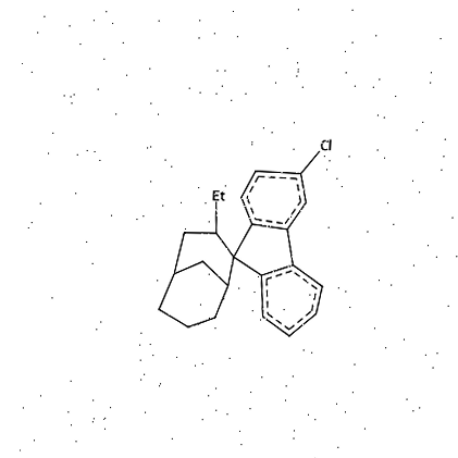 CCC1CC2CCCC(C2)C12c1ccccc1-c1cc(Cl)ccc12